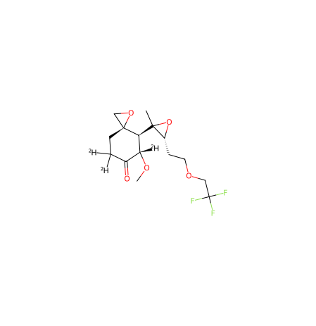 [2H]C1([2H])C[C@]2(CO2)[C@@H](C2(C)O[C@@H]2CCOCC(F)(F)F)[C@]([2H])(OC)C1=O